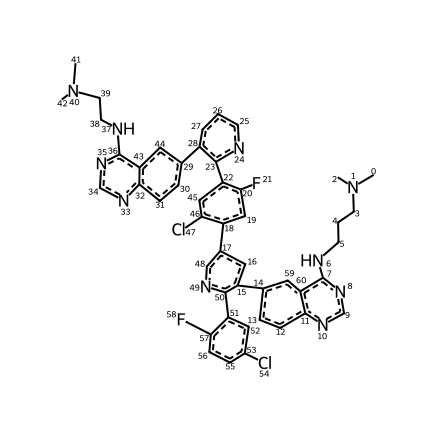 CN(C)CCCNc1ncnc2ccc(-c3cc(-c4cc(F)c(-c5ncccc5-c5ccc6ncnc(NCCN(C)C)c6c5)cc4Cl)cnc3-c3cc(Cl)ccc3F)cc12